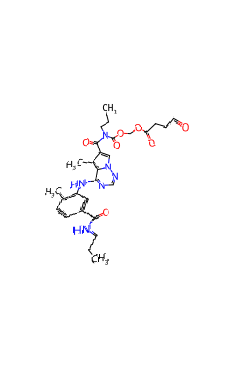 CCCNC(=O)c1ccc(C)c(Nc2ncnn3cc(C(=O)N(CCC)C(=O)OCOC(=O)CCC=O)c(C)c23)c1